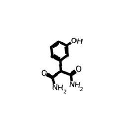 NC(=O)C(C(N)=O)c1cccc(O)c1